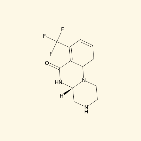 O=C1N[C@H]2CNCCN2C2CC=CC(C(F)(F)F)=C12